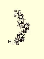 CS(=O)(=O)Nc1ncc(CNc2ncnc(N(Cc3ccc(C(F)(F)F)cc3)C3CC3)c2F)cc1F